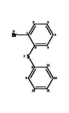 Brc1ccccc1Sc1ccccc1